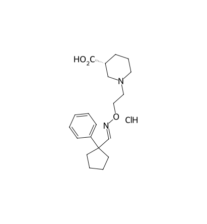 Cl.O=C(O)[C@@H]1CCCN(CCON=CC2(c3ccccc3)CCCC2)C1